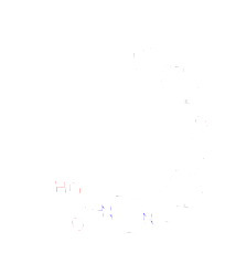 O=C(O)N1CCN(Cc2ccc(CCOc3ccc4c(c3)CCC4)cc2)CC1